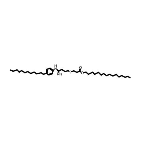 CCCCCCCCCCCCCCCCOC(=O)CCSCCCC(=N)Nc1ccc(CCCCCCCCCCCC)cc1